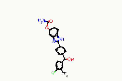 NC(=O)Oc1ccc2[nH]c(-c3ccc(C(O)c4ccc(Cl)c(C(F)(F)F)c4)cc3)nc2c1